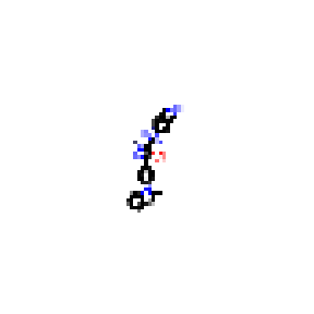 C=C1Cc2ccccc2N1c1ccc(-c2nn(C)c(-c3nc4cc5c(cc4[nH]3)CNC5)c2O)cc1